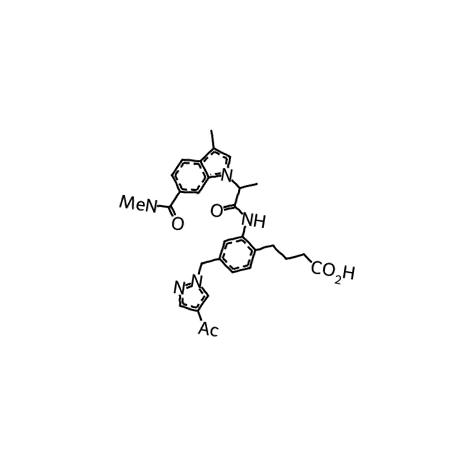 CNC(=O)c1ccc2c(C)cn(C(C)C(=O)Nc3cc(Cn4cc(C(C)=O)cn4)ccc3CCCC(=O)O)c2c1